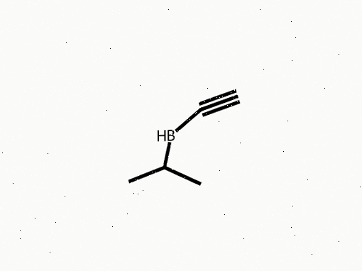 C#CBC(C)C